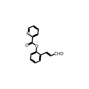 O=C/C=C/c1ccccc1OC(=O)c1ccccn1